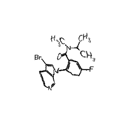 CC(C)N(C)C(=O)c1cc(F)ccc1-n1cc(Br)c2ccncc21